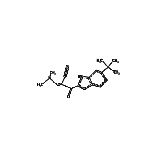 CN(C)C=C(C#N)C(=O)c1cc2ccc(C(C)(C)C)cc2[nH]1